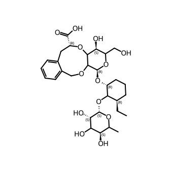 CC[C@@H]1CCC[C@@H](O[C@@H]2OC(CO)[C@H](O)C3O[C@@H](C(=O)O)Cc4ccccc4COC32)C1O[C@@H]1OC(C)[C@@H](O)C(O)[C@@H]1O